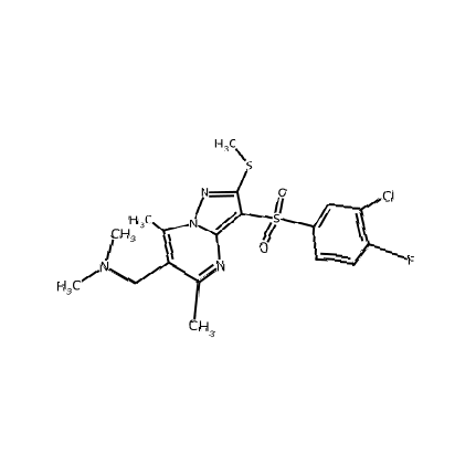 CSc1nn2c(C)c(CN(C)C)c(C)nc2c1S(=O)(=O)c1ccc(F)c(Cl)c1